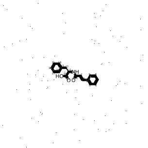 O=C(C=Cc1ccccc1)N[C@H](Cc1ccccc1)C(=O)O